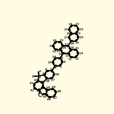 CC1(C)c2cc(-c3ccc(-c4c5ccccc5c(-c5ccc6ccccc6c5)c5ccccc45)cc3)ccc2-c2c1ccc1oc3ccccc3c21